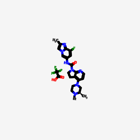 CCN1CCN(c2ccnc3c2CCN3C(=O)Nc2cc(F)c3nc(C)cn3c2)C[C@@H]1C.O=C(O)C(F)(F)F